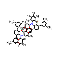 [2H]c1c([2H])c([2H])c(N(c2c(-c3cc(C)cc(C)c3)ccc(-c3cc(C)cc(C)c3)c2F)c2ccc3ccc4c(N(c5c([2H])c([2H])c([2H])c([2H])c5[2H])c5c(-c6cc(C)cc(C)c6)ccc(-c6cc(C)cc(C)c6)c5F)ccc5ccc2c3c54)c([2H])c1[2H]